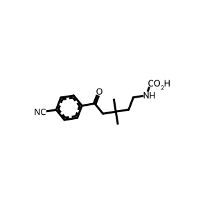 CC(C)(CCNC(=O)O)CC(=O)c1ccc(C#N)cc1